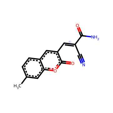 Cc1ccc2cc(/C=C(\C#N)C(N)=O)c(=O)oc2c1